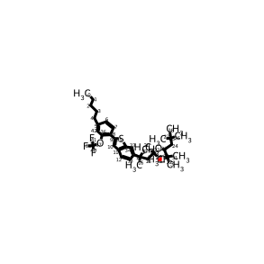 CCCCCc1ccc(-c2cc3ccc(C(C)(C)CC(C)(C)OC(CC(C)(C)C)C(C)(C)C)cc3s2)c(OC(F)(F)F)c1